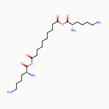 NCCCC[C@H](N)C(=O)OC(=O)CCCCCCCCC(=O)OC(=O)[C@@H](N)CCCCN